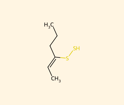 CC=C(CCC)SS